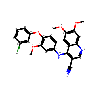 COc1cc2ncc(C#N)c(Nc3ccc(Oc4cccc(F)c4)c(OC)c3)c2cc1OC